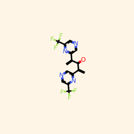 C=C(C(=O)C(=C)c1cncc(C(F)(F)F)n1)c1cncc(C(F)(F)F)n1